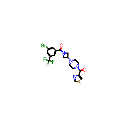 O=C(c1cc(Br)cc(C(F)(F)F)c1)N1CC(N2CCN(C(=O)c3cscn3)CC2)C1